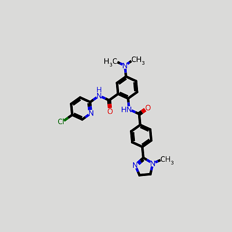 CN1CCN=C1c1ccc(C(=O)Nc2ccc(N(C)C)cc2C(=O)Nc2ccc(Cl)cn2)cc1